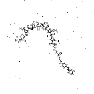 Cn1cc(NC(=O)c2cc(NC(=O)c3cc(NC(=O)c4cc(NC(=O)c5cc(NC(=O)OC(C)(C)C)cn5C)cn4C)cn3C)cn2C)cc1C(=O)NCCCCCC(=O)OCCSCc1ccc(N=Nc2ccccc2)cc1